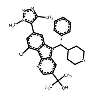 Cc1nnn(C)c1-c1cc(Cl)c2c3ncc(C(C)(C)O)cc3n([C@H](c3ccccc3)C3CCOCC3)c2c1